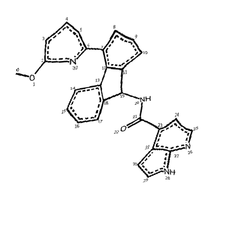 COc1cccc(-c2cccc3c2-c2ccccc2C3NC(=O)c2ccnc3[nH]ccc23)n1